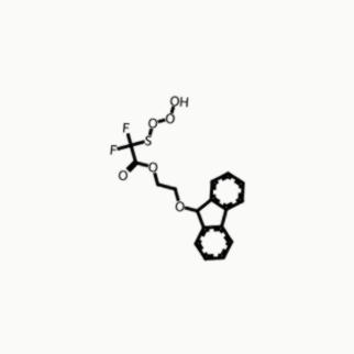 O=C(OCCOC1c2ccccc2-c2ccccc21)C(F)(F)SOOO